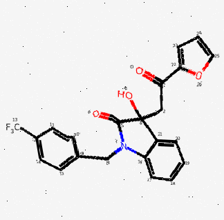 O=C(CC1(O)C(=O)N(Cc2ccc(C(F)(F)F)cc2)c2ccccc21)c1ccco1